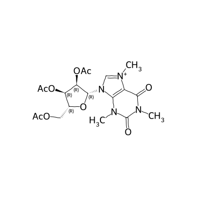 CC(=O)OC[C@H]1O[C@@H](n2c[n+](C)c3c(=O)n(C)c(=O)n(C)c32)[C@H](OC(C)=O)[C@@H]1OC(C)=O